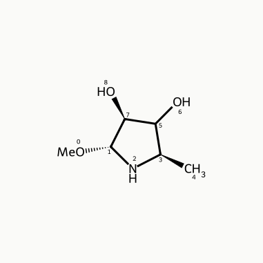 CO[C@H]1N[C@H](C)C(O)[C@@H]1O